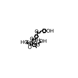 CCC(CC(CC(C)C(=O)OCCO)C(=O)NCO)C(=O)Nc1ccc(C(=O)/C=C/c2ccc(O)cc2)cc1